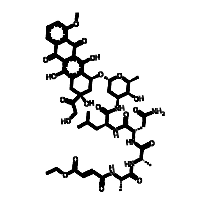 CCOC(=O)/C=C/C(=O)N[C@@H](C)C(=O)N[C@@H](C)C(=O)N[C@@H](CC(N)=O)C(=O)N[C@@H](CC(C)C)C(=O)N[C@H]1C[C@H](O[C@H]2C[C@](O)(C(=O)CO)Cc3c(O)c4c(c(O)c32)C(=O)c2c(OC)cccc2C4=O)O[C@@H](C)[C@H]1O